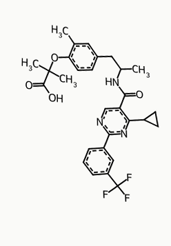 Cc1cc(CC(C)NC(=O)c2cnc(-c3cccc(C(F)(F)F)c3)nc2C2CC2)ccc1OC(C)(C)C(=O)O